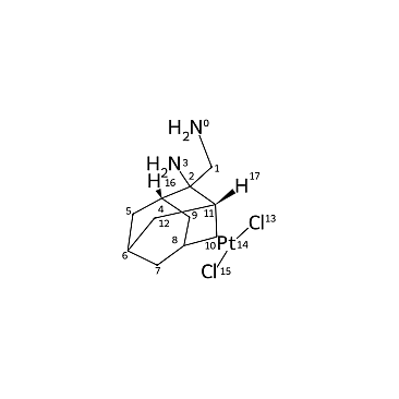 NCC1(N)[C@H]2CC3CC(C2)C[C@@H]1C3.[Cl][Pt][Cl]